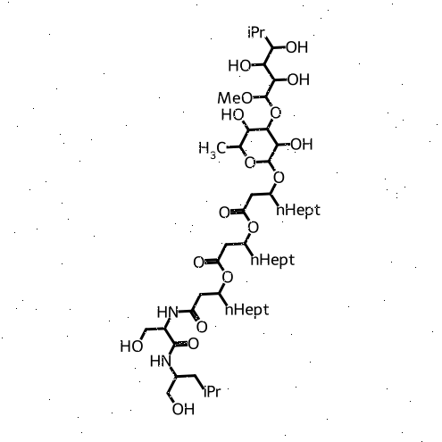 CCCCCCCC(CC(=O)NC(CO)C(=O)NC(CO)CC(C)C)OC(=O)CC(CCCCCCC)OC(=O)CC(CCCCCCC)OC1OC(C)C(O)C(OC(OC)C(O)C(O)C(O)C(C)C)C1O